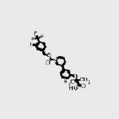 CC(C)(Oc1cccc(C2CCCN(C(=O)OCc3ccc(C(F)(F)F)c(F)c3)C2)c1)C(=O)O